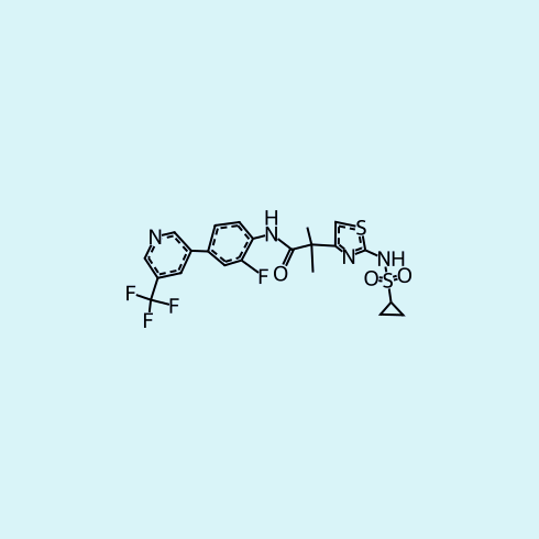 CC(C)(C(=O)Nc1ccc(-c2cncc(C(F)(F)F)c2)cc1F)c1csc(NS(=O)(=O)C2CC2)n1